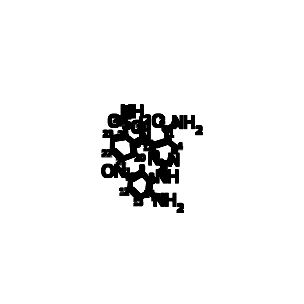 NC(=O)c1cnc(Nc2cc(N=O)ccc2N)nc1Nc1ccccc1S(N)(=O)=O